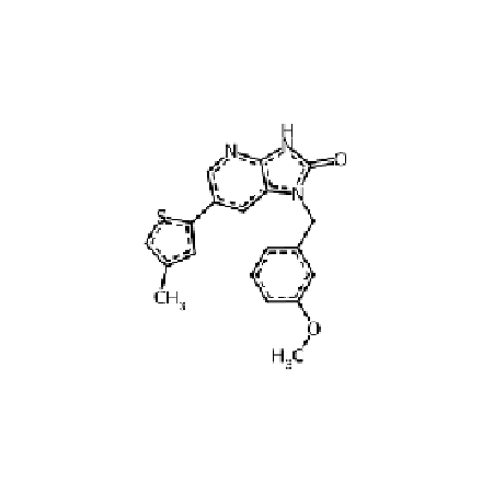 COc1cccc(Cn2c(=O)[nH]c3ncc(-c4cc(C)cs4)cc32)c1